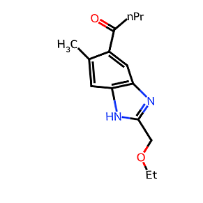 CCCC(=O)c1cc2nc(COCC)[nH]c2cc1C